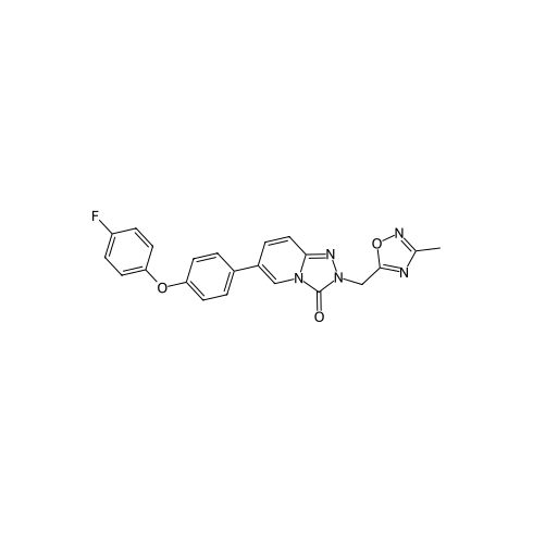 Cc1noc(Cn2nc3ccc(-c4ccc(Oc5ccc(F)cc5)cc4)cn3c2=O)n1